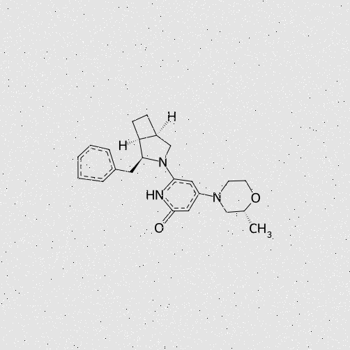 C[C@@H]1CN(c2cc(N3C[C@@H]4CC[C@@H]4[C@@H]3Cc3ccccc3)[nH]c(=O)c2)CCO1